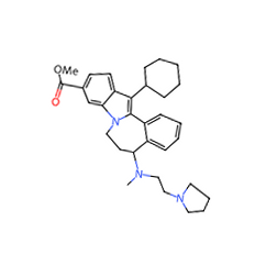 COC(=O)c1ccc2c(C3CCCCC3)c3n(c2c1)CCC(N(C)CCN1CCCC1)c1ccccc1-3